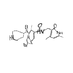 CCN(c1c(C)c(C(=O)NCc2c(C)cc(C)[nH]c2=O)cc2cc(Br)cn12)C1CCNCC1